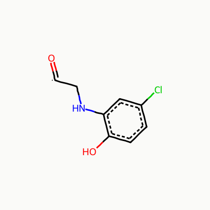 O=[C]CNc1cc(Cl)ccc1O